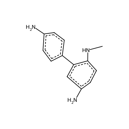 CNc1ccc(N)cc1-c1ccc(N)cc1